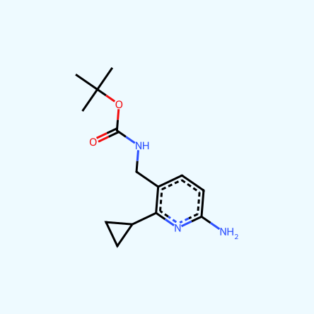 CC(C)(C)OC(=O)NCc1ccc(N)nc1C1CC1